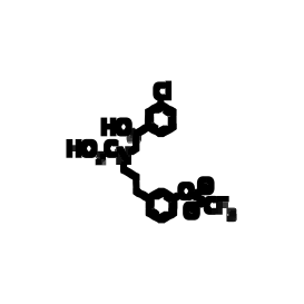 O=C(O)N(CCCc1cccc(OS(=O)(=O)C(F)(F)F)c1)C[C@@H](O)c1cccc(Cl)c1